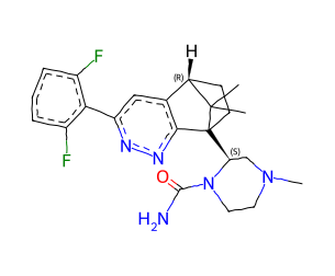 CN1CCN(C(N)=O)[C@@H](C23CC[C@@H](c4cc(-c5c(F)cccc5F)nnc42)C3(C)C)C1